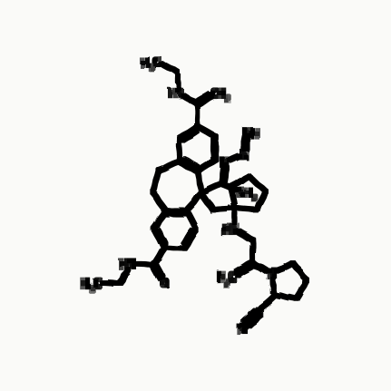 C=C(NCC)c1ccc2c(c1)CCc1cc(C(=O)NCC)ccc1C2(CC1(NCC(=C)N2CCCC2C#N)CCCC1)/C(N)=N/N=N